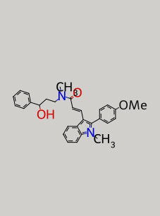 COc1ccc(-c2c(C=CC(=O)N(C)CCC(O)c3ccccc3)c3ccccc3n2C)cc1